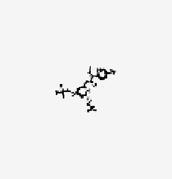 O=C(Cc1cc(OCC(F)(F)F)cc(OCC(F)(F)F)n1)[C@@H](CF)c1ccc(Br)cn1